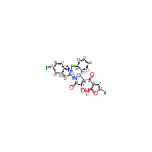 Cc1cc(C(=O)C2=C(O)C(=O)N(c3nc4ccc(F)cc4s3)C2c2ccccc2F)c(C)o1